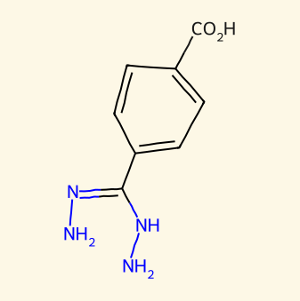 N/N=C(\NN)c1ccc(C(=O)O)cc1